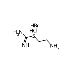 Br.Cl.N=C(N)SCCN